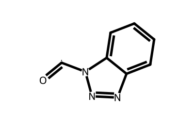 O=[C]n1nnc2ccccc21